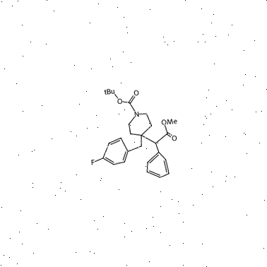 COC(=O)C(c1ccccc1)C1(Cc2ccc(F)cc2)CCN(C(=O)OC(C)(C)C)CC1